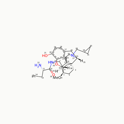 CO[C@]12CC[C@@]3(C[C@@H]1CNC(=O)[C@@H](N)CC(C)C)[C@H]1Cc4ccc(O)c5c4[C@@]3(CCN1CC1CC1)[C@H]2O5